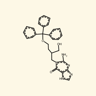 Nc1nc2nc[nH]c2c(=O)n1CC(CO)CCOC(c1ccccc1)(c1ccccc1)c1ccccc1